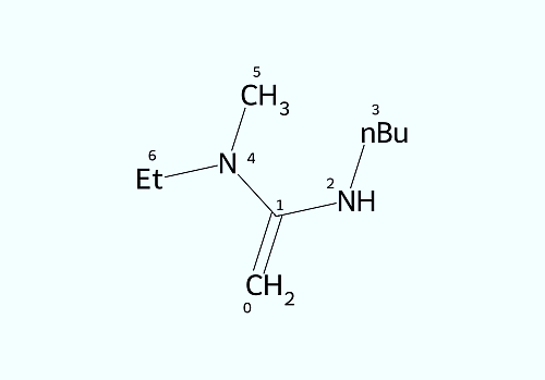 C=C(NCCCC)N(C)CC